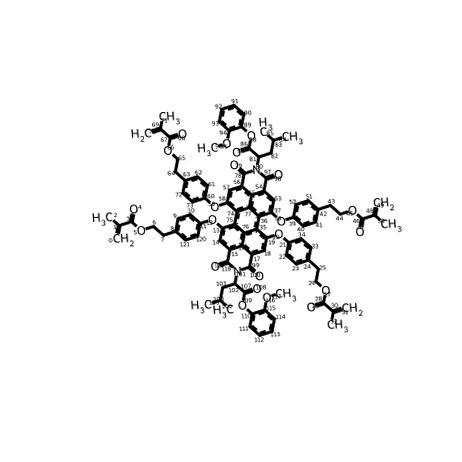 C=C(C)C(=O)OCCc1ccc(Oc2cc3c4c(cc(Oc5ccc(CCOC(=O)C(=C)C)cc5)c5c6c(Oc7ccc(CCOC(=O)C(=C)C)cc7)cc7c8c(cc(Oc9ccc(CCOC(=O)C(=C)C)cc9)c(c2c45)c86)C(=O)N(C(CC(C)C)C(=O)Oc2ccccc2OC)C7=O)C(=O)N(C(CC(C)C)C(=O)Oc2ccccc2OC)C3=O)cc1